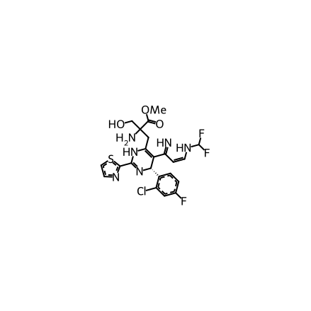 COC(=O)C(N)(CO)CC1=C(C(=N)/C=C\NC(F)F)[C@H](c2ccc(F)cc2Cl)N=C(c2nccs2)N1